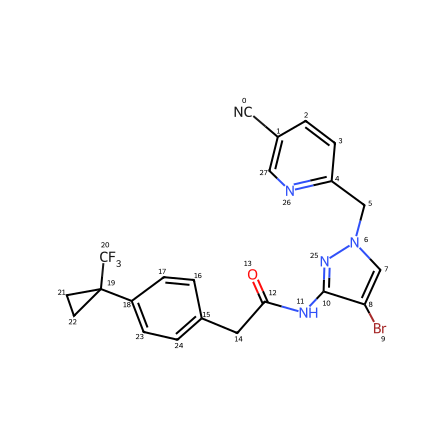 N#Cc1ccc(Cn2cc(Br)c(NC(=O)Cc3ccc(C4(C(F)(F)F)CC4)cc3)n2)nc1